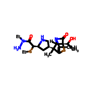 CCSC(C(=O)N(N)CC)[C@@H]1C[C@@H](C2(C)C3=C(C(=O)O)N4C(=O)[C@@](C(C)O)(S3)[C@@H]42)CN1